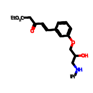 CCOC(=O)CC(=O)C=Cc1cccc(OCC(O)CNC(C)C)c1